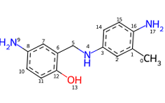 Cc1cc(NCc2cc(N)ccc2O)ccc1N